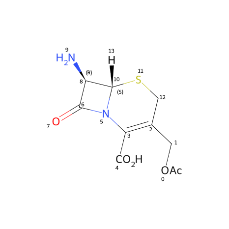 CC(=O)OCC1=C(C(=O)O)N2C(=O)[C@@H](N)[C@@H]2SC1